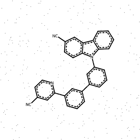 N#Cc1ccnc(-c2cccc(-c3cccc(-n4c5ccccc5c5cc(C#N)ccc54)c3)c2)c1